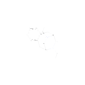 CCN1CC2Cc3ccccc3CC1CN2CC